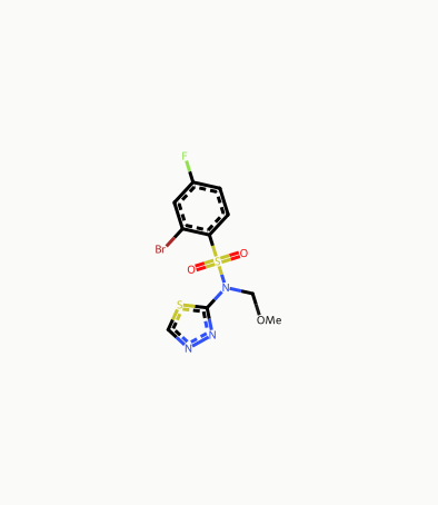 COCN(c1nncs1)S(=O)(=O)c1ccc(F)cc1Br